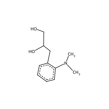 CN(C)c1ccccc1CC(O)CO